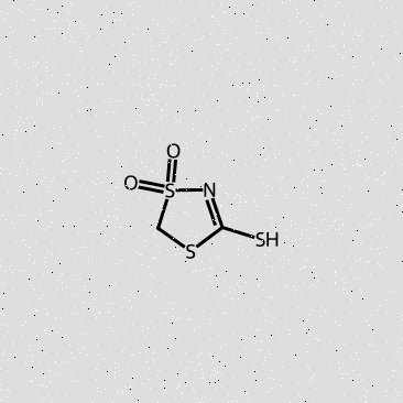 O=S1(=O)CSC(S)=N1